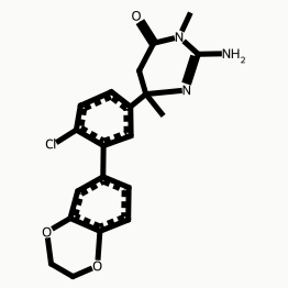 CN1C(=O)CC(C)(c2ccc(Cl)c(-c3ccc4c(c3)OCCO4)c2)N=C1N